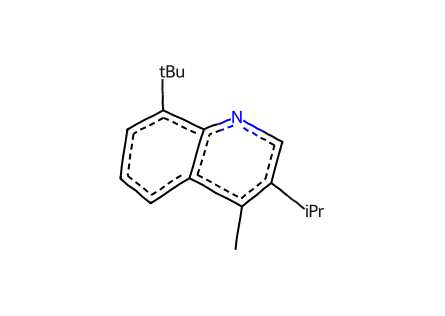 Cc1c(C(C)C)cnc2c(C(C)(C)C)cccc12